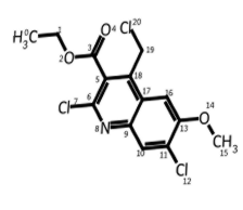 CCOC(=O)c1c(Cl)nc2cc(Cl)c(OC)cc2c1CCl